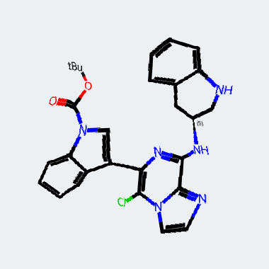 CC(C)(C)OC(=O)n1cc(-c2nc(N[C@@H]3CNc4ccccc4C3)c3nccn3c2Cl)c2ccccc21